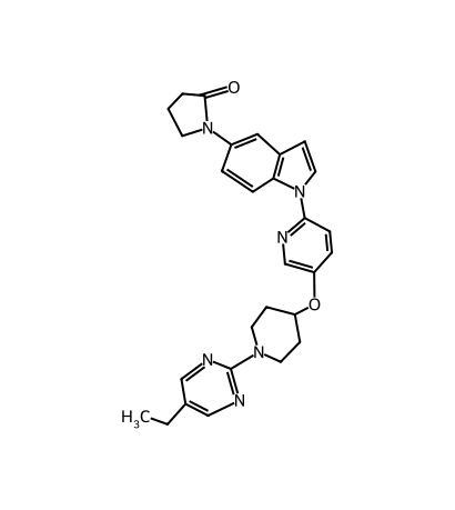 CCc1cnc(N2CCC(Oc3ccc(-n4ccc5cc(N6CCCC6=O)ccc54)nc3)CC2)nc1